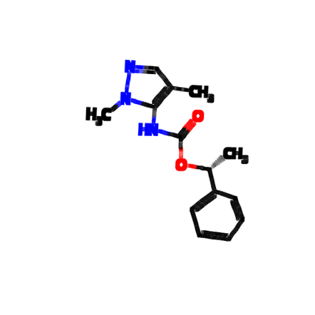 Cc1cnn(C)c1NC(=O)O[C@H](C)c1ccccc1